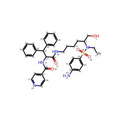 CC(C)CN(C(CO)CCCCNC(=O)C(NC(=O)c1ccncc1)C(c1ccccc1)c1ccccc1)S(=O)(=O)c1ccc(N)cc1